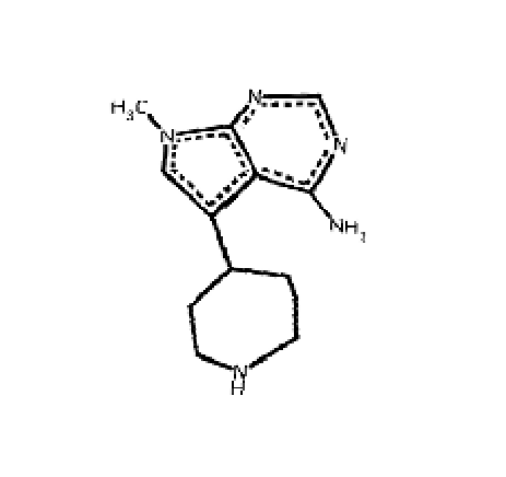 Cn1cc(C2CCNCC2)c2c(N)ncnc21